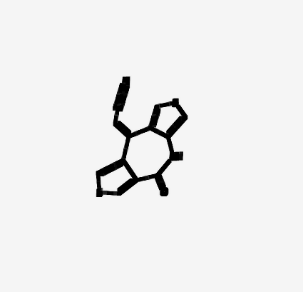 N#C/C=C1\c2cscc2NC(=O)c2cscc21